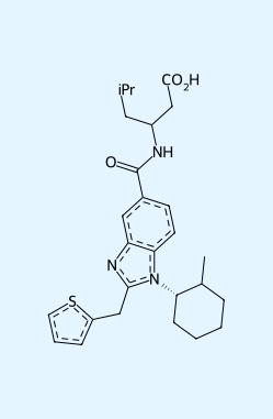 CC(C)CC(CC(=O)O)NC(=O)c1ccc2c(c1)nc(Cc1cccs1)n2[C@H]1CCCCC1C